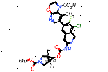 Cc1c(-c2cc3cc(NC(=O)O[C@@H]4[C@@H]5CN(C(=O)OC(C)(C)C)C[C@@H]54)ncc3c(Cl)c2F)cnc2c1N(C(=O)O)CCO2